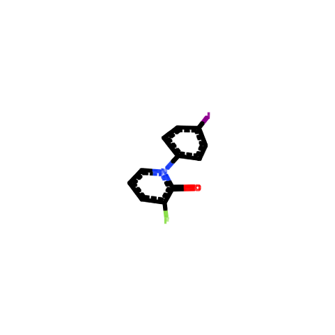 O=c1c(F)cccn1-c1ccc(I)cc1